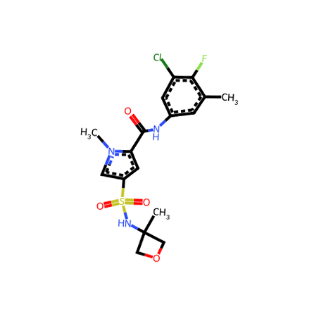 Cc1cc(NC(=O)c2cc(S(=O)(=O)NC3(C)COC3)cn2C)cc(Cl)c1F